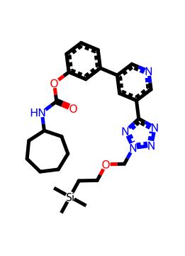 C[Si](C)(C)CCOCn1nnc(-c2cncc(-c3cccc(OC(=O)NC4CCCCCC4)c3)c2)n1